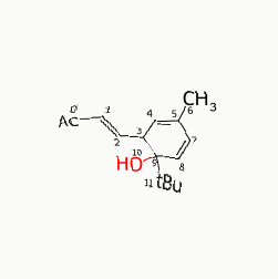 CC(=O)C=CC1C=C(C)C=CC1(O)C(C)(C)C